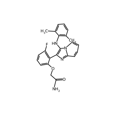 Cc1cccc(C)c1Nc1c(-c2c(F)cccc2OCC(N)=O)nc2ccccn12